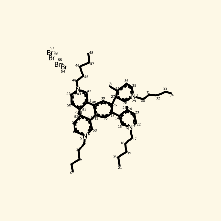 CCCCC[n+]1ccc(C)c(-c2cc(-c3c[n+](CCCCC)ccc3C)c(-c3c[n+](CCCCC)ccc3C)cc2-c2c[n+](CCCCC)ccc2C)c1.[Br-].[Br-].[Br-].[Br-]